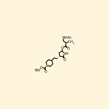 CC(=O)NCC(C)C(=O)OC1C[C@@H](CCC2CCN(C(=O)OC(C)(C)C)CC2)C(=O)N1